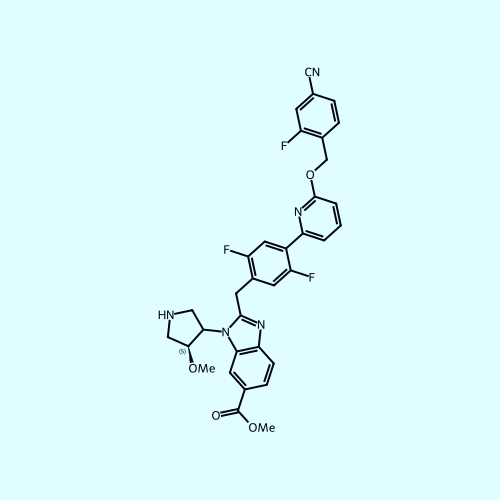 COC(=O)c1ccc2nc(Cc3cc(F)c(-c4cccc(OCc5ccc(C#N)cc5F)n4)cc3F)n(C3CNC[C@@H]3OC)c2c1